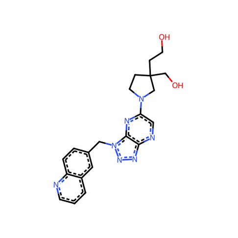 OCCC1(CO)CCN(c2cnc3nnn(Cc4ccc5ncccc5c4)c3n2)C1